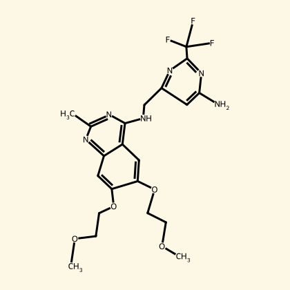 COCCOc1cc2nc(C)nc(NCc3cc(N)nc(C(F)(F)F)n3)c2cc1OCCOC